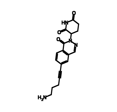 NCCCC#Cc1ccc2c(=O)n(C3CCC(=O)NC3=O)ncc2c1